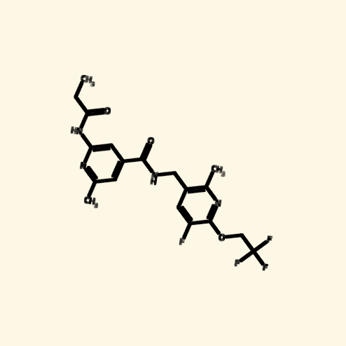 CCC(=O)Nc1cc(C(=O)NCc2cc(F)c(OCC(F)(F)F)nc2C)cc(C)n1